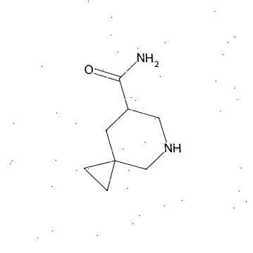 NC(=O)C1CNCC2(CC2)C1